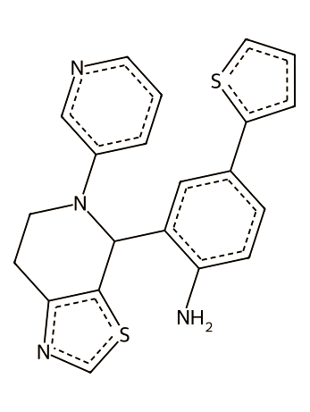 Nc1ccc(-c2cccs2)cc1C1c2scnc2CCN1c1cccnc1